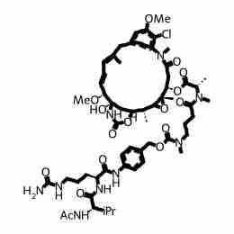 COc1cc2cc(c1Cl)N(C)C(=O)C[C@H](OC(=O)[C@H](C)N(C)C(=O)CCCN(C)C(=O)OCc1ccc(NC(=O)[C@H](CCCNC(N)=O)NC(=O)[C@@H](NC(C)=O)C(C)C)cc1)[C@]1(C)OC1[C@H](C)[C@@H]1C[C@@](O)(NC(=O)O1)[C@H](OC)/C=C/C=C(\C)C2